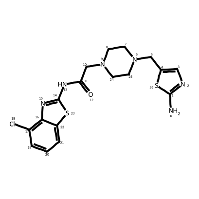 Nc1ncc(CN2CCN(CC(=O)Nc3nc4c(Cl)cccc4s3)CC2)s1